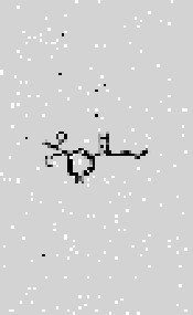 CCCCNc1cncc(S(C)(=O)=O)c1